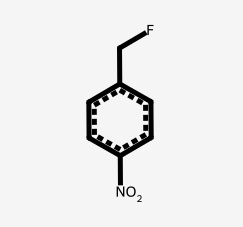 O=[N+]([O-])c1ccc(CF)cc1